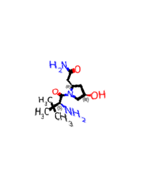 CC(C)(C)[C@H](N)C(=O)N1C[C@H](O)C[C@@H]1CC(N)=O